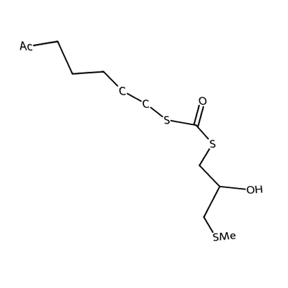 CSCC(O)CSC(=O)SCCCCCC(C)=O